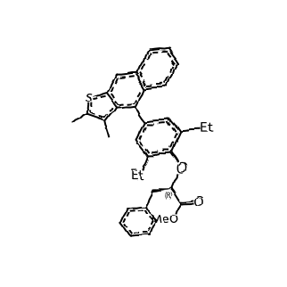 CCc1cc(-c2c3ccccc3cc3sc(C)c(C)c23)cc(CC)c1O[C@H](Cc1ccccc1)C(=O)OC